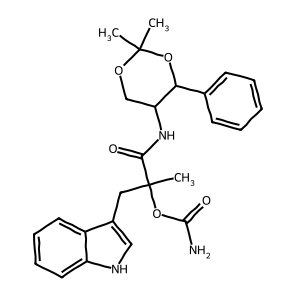 CC1(C)OCC(NC(=O)C(C)(Cc2c[nH]c3ccccc23)OC(N)=O)C(c2ccccc2)O1